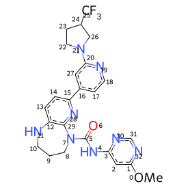 COc1cc(NC(=O)N2CCCNc3ccc(-c4ccnc(N5CCC(C(F)(F)F)C5)c4)nc32)ncn1